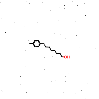 Cc1ccc(CCCCCCCCO)cc1